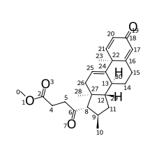 COC(=O)CCC(=O)[C@H]1[C@H](C)C[C@H]2[C@@H]3CCC4=CC(=O)C=C[C@]4(C)C3=CC[C@@]21C